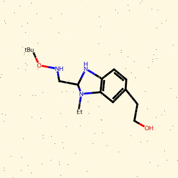 CCN1c2cc(CCO)ccc2NC1CNOC(C)(C)C